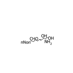 CCCCCCCCCC(C=O)CCC/C=C/[C@@H](O)[C@@H](N)CO